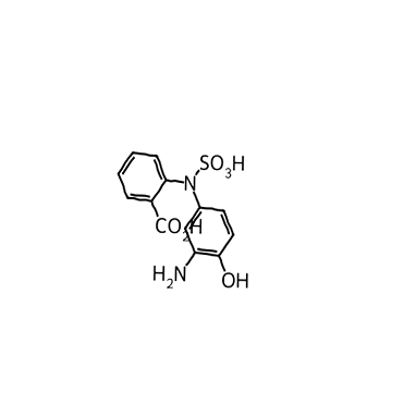 Nc1cc(N(c2ccccc2C(=O)O)S(=O)(=O)O)ccc1O